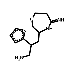 N=C1CCOCC(CC(CN)c2cccs2)N1